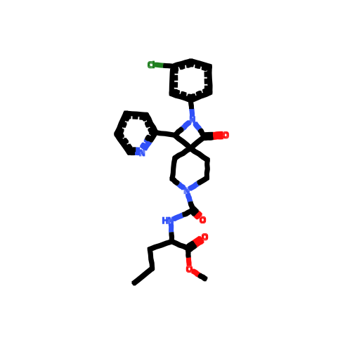 CCCC(NC(=O)N1CCC2(CC1)C(=O)N(c1cccc(Cl)c1)C2c1ccccn1)C(=O)OC